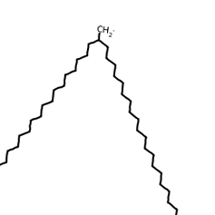 [CH2]C(CCCCCCCCCCCCCCCCC)CCCCCCCCCCCCCCCCCCCC